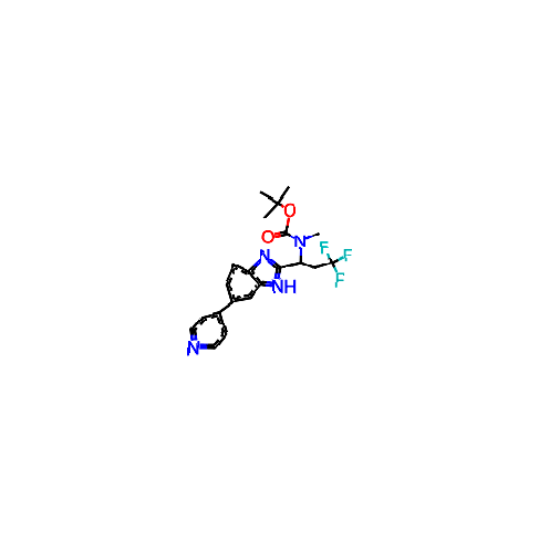 CN(C(=O)OC(C)(C)C)C(CC(F)(F)F)c1nc2ccc(-c3ccncc3)cc2[nH]1